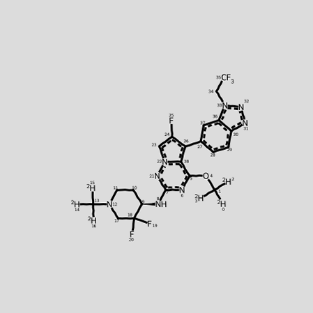 [2H]C([2H])([2H])Oc1nc(N[C@@H]2CCN(C([2H])([2H])[2H])CC2(F)F)nn2cc(F)c(-c3ccc4nnn(CC(F)(F)F)c4c3)c12